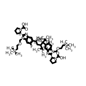 CC(C)(C)C(C[C@H](O)c1cc2nc([C@@H]3CCCN3C(=O)O)n(COCC[Si](C)(C)C)c2cc1F)[C@@](O)(c1cc2nc([C@@H]3CCCN3C(=O)O)n(COCC[Si](C)(C)C)c2cc1F)C(C)(C)C